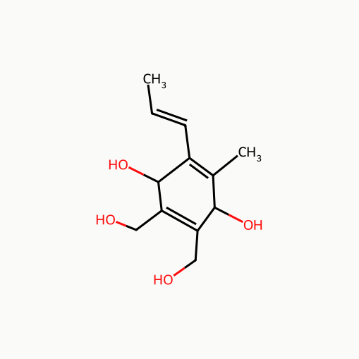 CC=CC1=C(C)C(O)C(CO)=C(CO)C1O